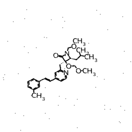 COCO[C@@]1(Cc2cc(/C=C/c3cccc(C)c3)ccn2)C(=O)N(COC)[C@H]1CC(C)C